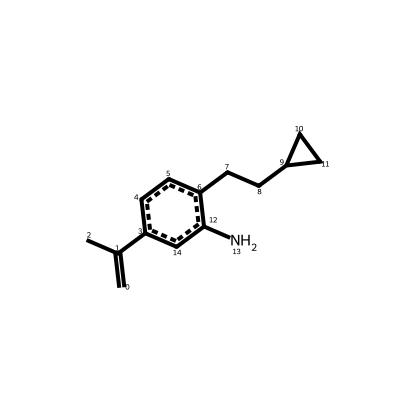 C=C(C)c1ccc(CCC2CC2)c(N)c1